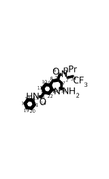 CCCN(CCC(F)(F)F)C(=O)C1=Cc2ccc(C(=O)Nc3ccccc3)cc2N=C(N)C1